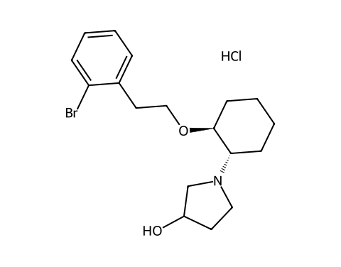 Cl.OC1CCN([C@H]2CCCC[C@@H]2OCCc2ccccc2Br)C1